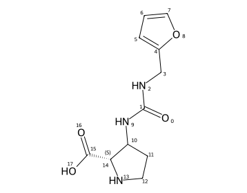 O=C(NCc1ccco1)NC1CCN[C@@H]1C(=O)O